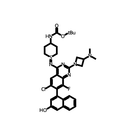 CN(C)C1CN(c2nc(N=S3CCC(NC(=O)OC(C)(C)C)CC3)c3cc(Cl)c(-c4cc(O)cc5ccccc45)c(F)c3n2)C1